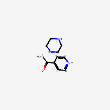 C1CNCCN1.COC(=O)c1ccncc1